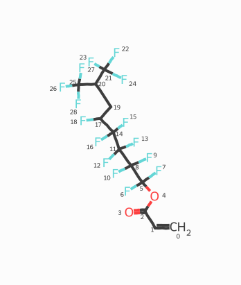 C=CC(=O)OC(F)(F)C(F)(F)C(F)(F)C(F)(F)C(F)CC(C(F)(F)F)C(F)(F)F